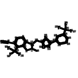 CC1Cc2c(ccc(C#N)c2C(F)(F)F)N1Cc1nc(-c2cccc(C(F)(F)F)c2)no1